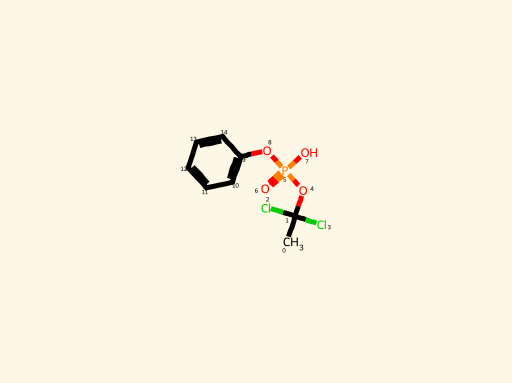 CC(Cl)(Cl)OP(=O)(O)Oc1ccccc1